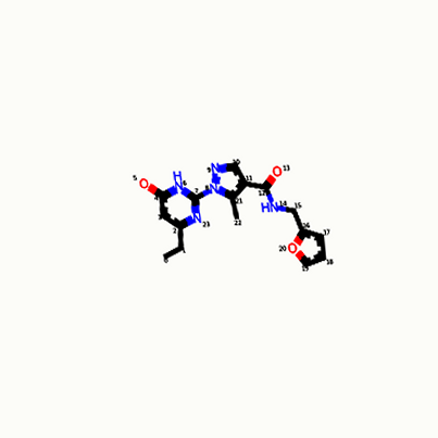 CCc1cc(=O)[nH]c(-n2ncc(C(=O)NCc3ccco3)c2C)n1